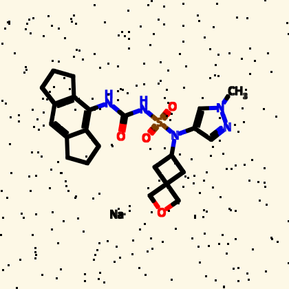 Cn1cc(N(C2CC3(COC3)C2)S(=O)(=O)NC(=O)Nc2c3c(cc4c2CCC4)CCC3)cn1.[Na]